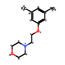 O=[N+]([O-])c1cc(OCCN2CCOCC2)cc(C(F)(F)F)c1